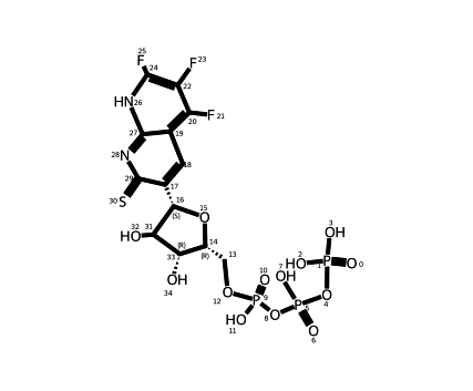 O=P(O)(O)OP(=O)(O)OP(=O)(O)OC[C@H]1O[C@@H](c2cc3c(F)c(F)c(F)[nH]c-3nc2=S)C(O)[C@H]1O